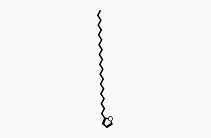 CCCCCCCCCCCCCCCCCCCCCCc1ccco1